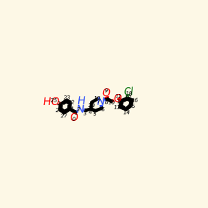 O=C(NCC1CCN(C(=O)COc2ccccc2Cl)CC1)c1ccc(O)cc1